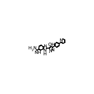 Cn1nc(-c2ccc(-c3ccccn3)cc2)c(O)c1-c1nc2ccc(C(=N)N)cc2[nH]1